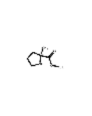 COC(=O)[C@@]1(C)CCCN1